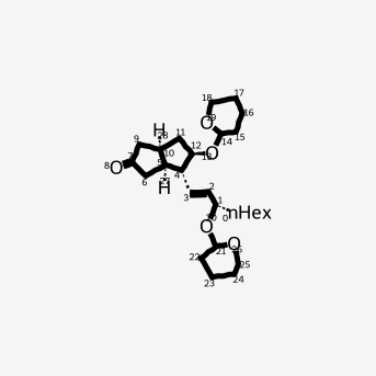 CCCCCC[C@@H](/C=C/[C@@H]1[C@H]2CC(=O)C[C@H]2C[C@H]1OC1CCCCO1)OC1CCCCO1